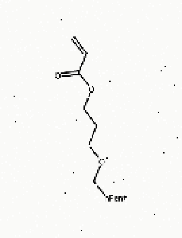 C=CC(=O)OCCCOCCCCCC